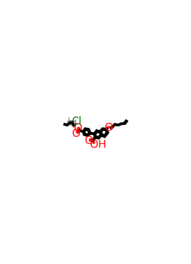 C=CCCCCOc1ccc2cc(C(=O)O)c(-c3ccc(C(=O)OC[C@@H](Cl)[C@@H](C)CC)cc3)cc2c1